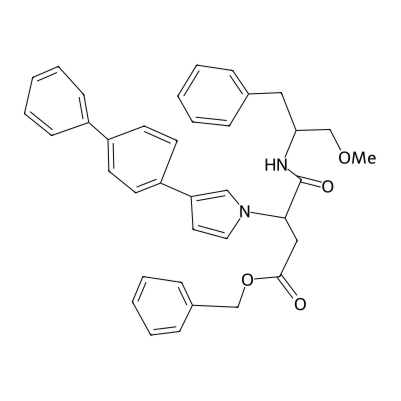 COCC(Cc1ccccc1)NC(=O)C(CC(=O)OCc1ccccc1)n1ccc(-c2ccc(-c3ccccc3)cc2)c1